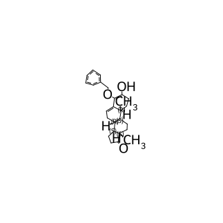 C[C@]12CCC(O)=C(OCc3ccccc3)C1=CC[C@@H]1[C@@H]2CC[C@]2(C)C(=O)CC[C@@H]12